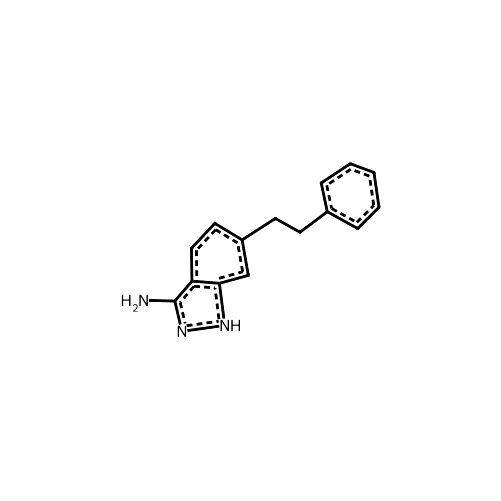 Nc1n[nH]c2cc(CCc3ccccc3)ccc12